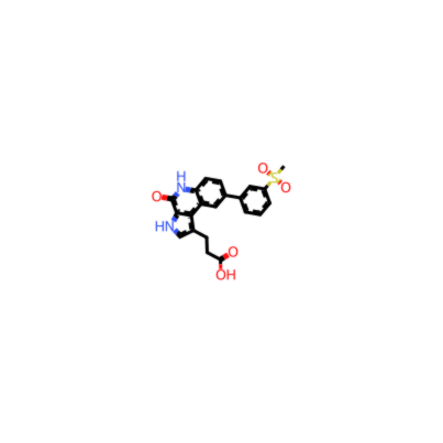 CS(=O)(=O)c1cccc(-c2ccc3[nH]c(=O)c4[nH]cc(CCC(=O)O)c4c3c2)c1